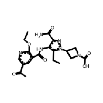 CCOc1ncc(C(C)=O)cc1C(=O)Nc1c(C(N)=O)nn(C2CN(C(=O)O)C2)c1CC